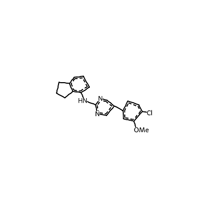 COc1cc(-c2cnc(Nc3cccc4c3CCC4)nc2)ccc1Cl